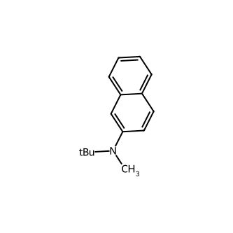 CN(c1ccc2ccccc2c1)C(C)(C)C